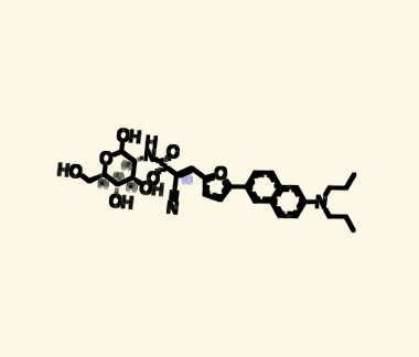 CCCN(CCC)c1ccc2cc(-c3ccc(/C=C(\C#N)S(=O)(=O)N[C@H]4C(O)O[C@H](CO)[C@@H](O)[C@@H]4O)o3)ccc2c1